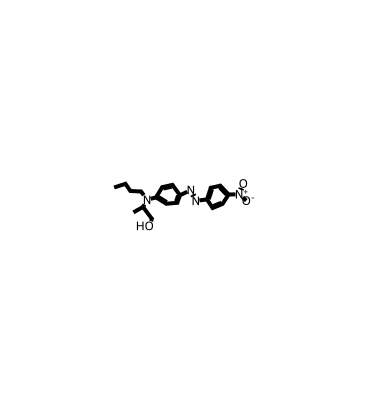 CCCCN(c1ccc(N=Nc2ccc([N+](=O)[O-])cc2)cc1)C(C)CO